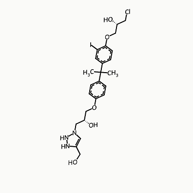 CC(C)(c1ccc(OC[C@H](O)CN2C=C(CO)NN2)cc1)c1ccc(OC[C@H](O)CCl)c(I)c1